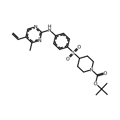 C=Cc1cnc(Nc2ccc(S(=O)(=O)C3CCN(C(=O)OC(C)(C)C)CC3)cc2)nc1C